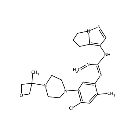 C=N/C(=N\c1cc(N2CCN(C3(C)COC3)CC2)c(Cl)cc1C)Nc1cnn2c1CCC2